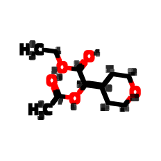 CCOC(=O)C(OC(C)=O)=C1CCOCC1